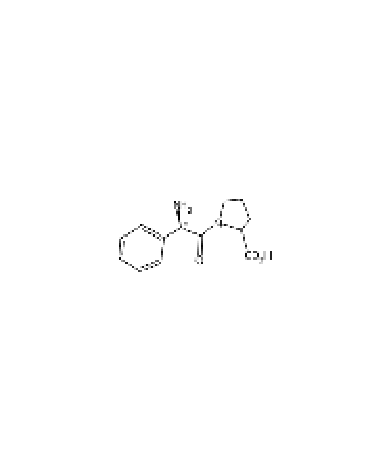 N[C@@H](C(=O)N1CCCC1C(=O)O)c1ccccc1